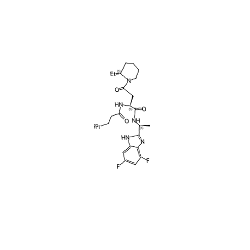 CC[C@H]1CCCCN1C(=O)C[C@H](NC(=O)CCC(C)C)C(=O)N[C@@H](C)c1nc2c(F)cc(F)cc2[nH]1